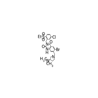 CCS(=O)(=O)c1ccc(Cl)cc1Cn1c(=O)[nH]c2cc(CN3CC[C@@H](N(C)C)C3)c(Br)cc2c1=O